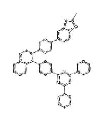 Cc1nc2cc(-c3ccc(-c4ccc5ccccc5c4-c4ccc(-c5nc(-c6ccccc6)cc(-c6ccccc6)n5)cc4)cc3)ccc2o1